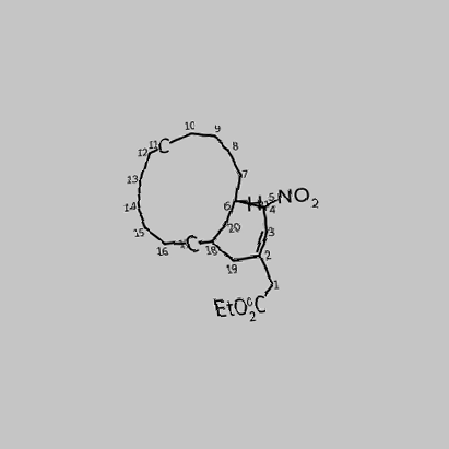 CCOC(=O)CC1=CC([N+](=O)[O-])[C@H]2CCCCCCCCCCCC(C1)C2